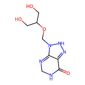 O=C1NCN=C2C1=NNN2COC(CO)CO